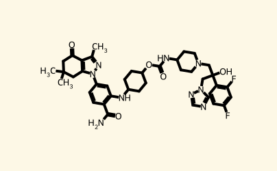 Cc1nn(-c2ccc(C(N)=O)c(NC3CCC(OC(=O)NC4CCN(CC(O)(Cn5cncn5)c5ccc(F)cc5F)CC4)CC3)c2)c2c1C(=O)CC(C)(C)C2